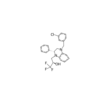 O[C@H](CN1c2ccccc2N(Cc2cccc(Cl)c2)C[C@H]1c1ccccc1)C(F)(F)F